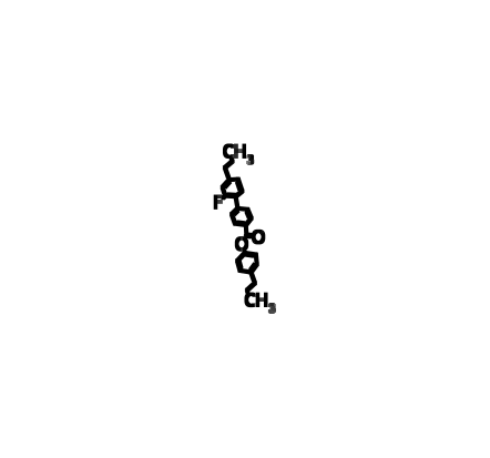 CCCc1ccc(OC(=O)c2ccc(-c3ccc(CCC)cc3F)cc2)cc1